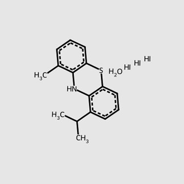 Cc1cccc2c1Nc1c(cccc1C(C)C)S2.I.I.I.O